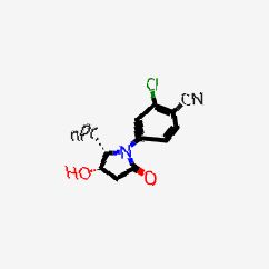 CCC[C@H]1[C@@H](O)CC(=O)N1c1ccc(C#N)c(Cl)c1